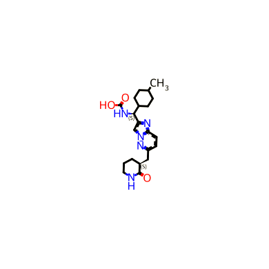 CC1CCC([C@H](NC(=O)O)c2cn3nc(C[C@@H]4CCCNC4=O)ccc3n2)CC1